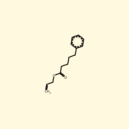 C=CCOC(=O)CCCCc1ccccc1